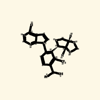 CC(C)C(O)c1ccc(-n2ccc3c(Cl)ncnc32)c([C@@H]2OC[C@H]3OCO[C@@H]32)c1C(F)(F)F